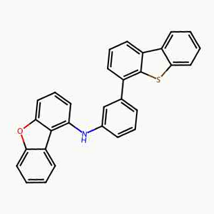 c1cc(Nc2cccc3oc4ccccc4c23)cc(-c2cccc3c2sc2ccccc23)c1